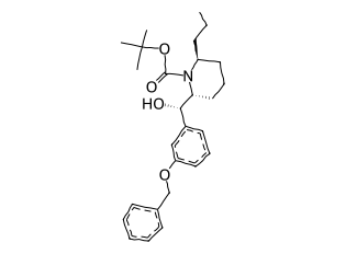 CCC[C@H]1CCC[C@H]([C@@H](O)c2cccc(OCc3ccccc3)c2)N1C(=O)OC(C)(C)C